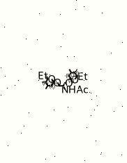 CCC1O[C@H](OCC(CO[C@H]2OC(CC)[C@H](C)C(C)[C@H]2C)NC(C)=O)[C@H](C)C(C)[C@H]1C